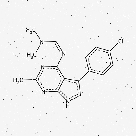 Cc1nc(/N=C\N(C)C)c2c(-c3ccc(Cl)cc3)c[nH]c2n1